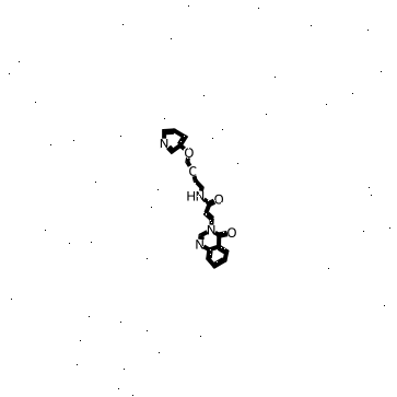 O=C(C=Cn1cnc2ccccc2c1=O)NCCCCOc1cccnc1